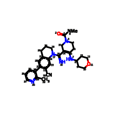 CNC(=O)N1CCC(NC2CCOCC2)=C(C(=N)N2CCCc3cc(-c4cccnc4C)c(C#N)cc32)C1